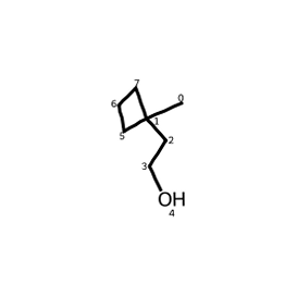 CC1(CCO)CCC1